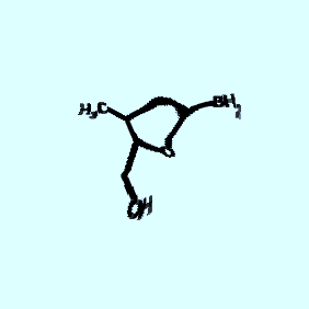 BC1CC(C)C(CO)O1